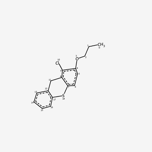 CCCOc1ccc2c(c1Cl)Cc1ccccc1S2